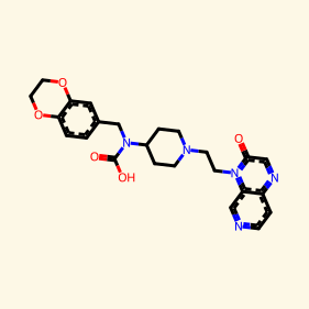 O=C(O)N(Cc1ccc2c(c1)OCCO2)C1CCN(CCn2c(=O)cnc3ccncc32)CC1